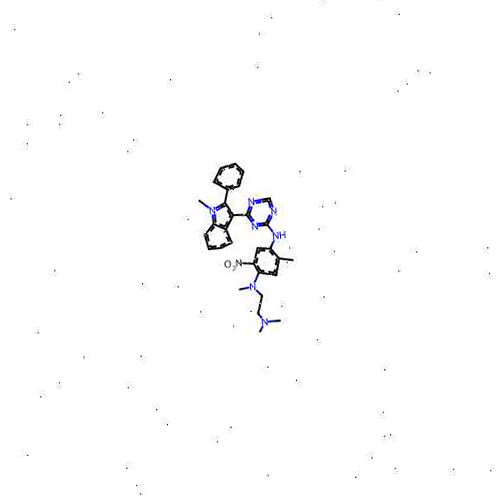 Cc1cc(N(C)CCN(C)C)c([N+](=O)[O-])cc1Nc1ncnc(-c2c(-c3ccccc3)n(C)c3ccccc23)n1